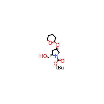 CC(C)(C)OC(=O)N1C[C@H](OC2CCCCO2)C[C@H]1CO